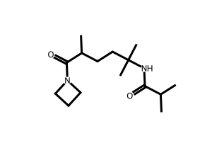 CC(C)C(=O)NC(C)(C)CCC(C)C(=O)N1CCC1